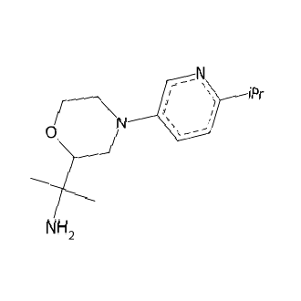 CC(C)c1ccc(N2CCOC(C(C)(C)N)C2)cn1